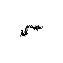 CC1(Oc2ccc3[nH]nc(-c4ccnc(N5CCN(CC6CCC(CN7CCN(c8ccc9c(c8)C(=O)N(C8CCC(=O)NC8=O)C9=O)CC7)CC6)CC5)c4)c3c2)CC1